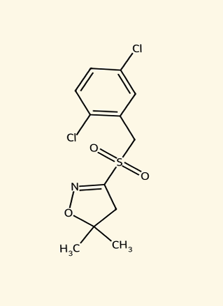 CC1(C)CC(S(=O)(=O)Cc2cc(Cl)ccc2Cl)=NO1